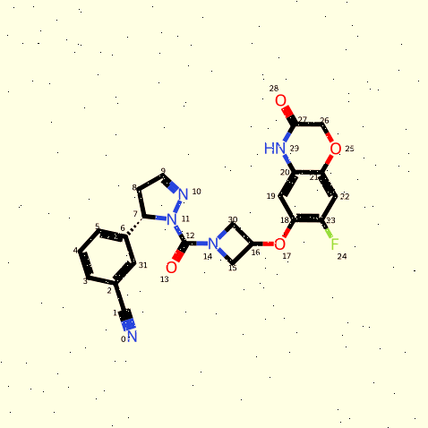 N#Cc1cccc([C@@H]2CC=NN2C(=O)N2CC(Oc3cc4c(cc3F)OCC(=O)N4)C2)c1